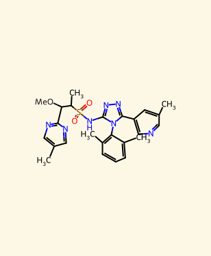 COC(c1ncc(C)cn1)C(C)S(=O)(=O)Nc1nnc(-c2cncc(C)c2)n1-c1c(C)cccc1C